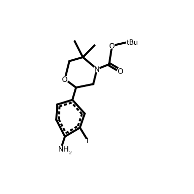 CC(C)(C)OC(=O)N1CC(c2ccc(N)c(I)c2)OCC1(C)C